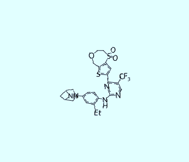 CCc1cc(N2CC3CC(C2)N3)ccc1Nc1ncc(C(F)(F)F)c(-c2cc3c(s2)COCCS3(=O)=O)n1